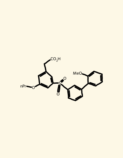 CCCOc1cc(CC(=O)O)cc(S(=O)(=O)c2cccc(-c3ccccc3OC)c2)c1